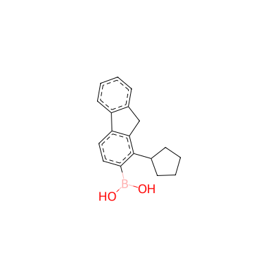 OB(O)c1ccc2c(c1C1CCCC1)Cc1ccccc1-2